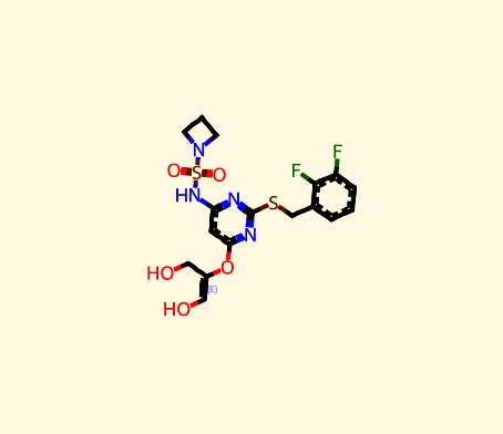 O=S(=O)(Nc1cc(O/C(=C/O)CO)nc(SCc2cccc(F)c2F)n1)N1CCC1